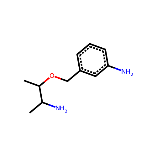 CC(N)C(C)OCc1cccc(N)c1